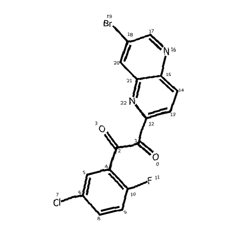 O=C(C(=O)c1cc(Cl)ccc1F)c1ccc2ncc(Br)cc2n1